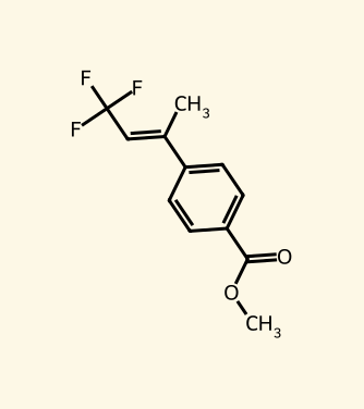 COC(=O)c1ccc(C(C)=CC(F)(F)F)cc1